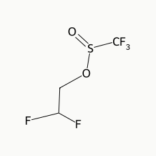 O=S(OCC(F)F)C(F)(F)F